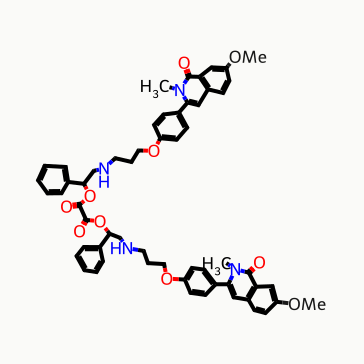 COc1ccc2cc(-c3ccc(OCCCNCC(OC(=O)C(=O)OC(CNCCCOc4ccc(-c5cc6ccc(OC)cc6c(=O)n5C)cc4)c4ccccc4)c4ccccc4)cc3)n(C)c(=O)c2c1